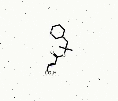 CC(C)(CC1CCCCC1)OC(=O)/C=C/C(=O)O